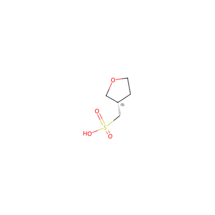 O=S(=O)(O)C[C@H]1CCOC1